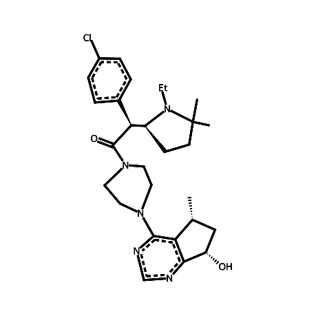 CCN1[C@H]([C@@H](C(=O)N2CCN(c3ncnc4c3[C@H](C)C[C@@H]4O)CC2)c2ccc(Cl)cc2)CCC1(C)C